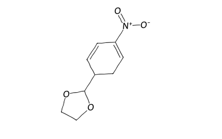 O=[N+]([O-])C1=CCC(C2OCCO2)C=C1